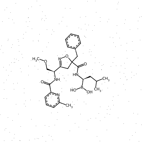 COC[C@H](NC(=O)c1cccc(C)n1)C1=NOC(Cc2ccccc2)(C(=O)N[C@@H](CC(C)C)B(O)O)C1